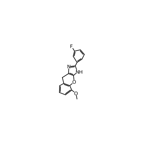 COc1cccc2c1Oc1[nH]c(-c3cccc(F)c3)nc1C2